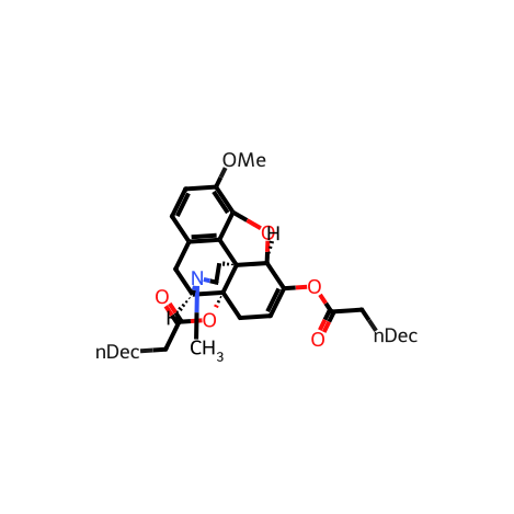 CCCCCCCCCCCC(=O)OC1=CC[C@@]2(OC(=O)CCCCCCCCCCC)[C@H]3Cc4ccc(OC)c5c4[C@@]2(CCN3C)[C@H]1O5